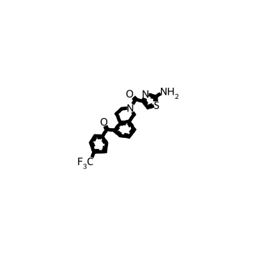 Nc1nc(C(=O)N2CCc3c(cccc3C(=O)c3ccc(C(F)(F)F)cc3)C2)cs1